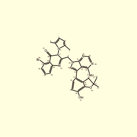 Cc1ccc(C)n1-n1c(Cn2nc(-c3ccc(O)c4c3CC(C)(C)O4)c3c(N)ncnc32)nc2cccc(Br)c2c1=O